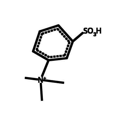 C[N+](C)(C)c1cccc(S(=O)(=O)O)c1